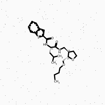 CCCCOC[C@H]1OCC[C@@H]1CNC(=O)[C@H](CC(C)C)NC(=O)c1cc2ccccc2s1